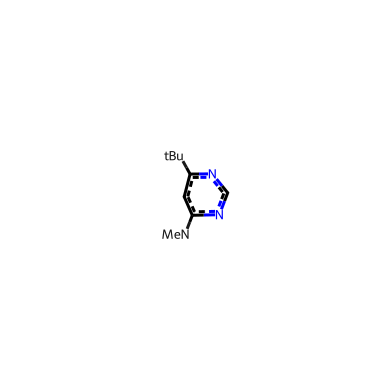 CNc1cc(C(C)(C)C)ncn1